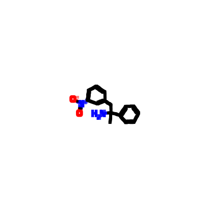 CC(N)(Cc1cccc([N+](=O)[O-])c1)c1ccccc1